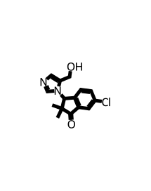 CC1(C)C(=O)c2cc(Cl)ccc2C1n1cncc1CO